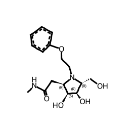 CNC(=O)C[C@@H]1[C@H](O)[C@H](O)[C@@H](CO)N1CCOc1ccccc1